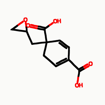 O=C(O)C1=CCC(CC2CO2)(C(=O)O)C=C1